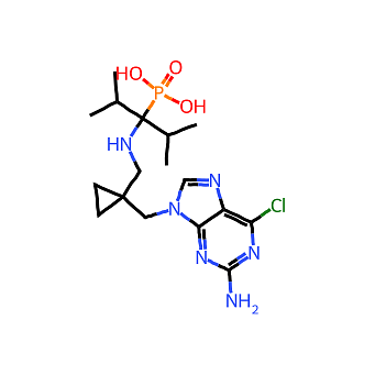 CC(C)C(NCC1(Cn2cnc3c(Cl)nc(N)nc32)CC1)(C(C)C)P(=O)(O)O